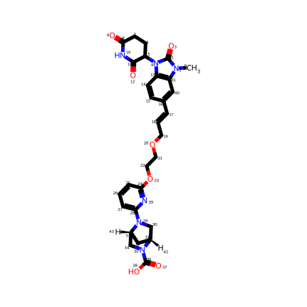 Cn1c(=O)n(C2CCC(=O)NC2=O)c2ccc(/C=C/COCCOc3cccc(N4C[C@H]5C[C@@H]4CN5C(=O)O)n3)cc21